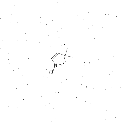 CC1(C)C=CN(Cl)C1